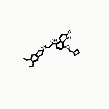 CCc1cc2c(cc1CC)CC(NC[C@@H](O)c1ccc(OCC3CCC3)c3[nH]c(=O)ccc13)C2